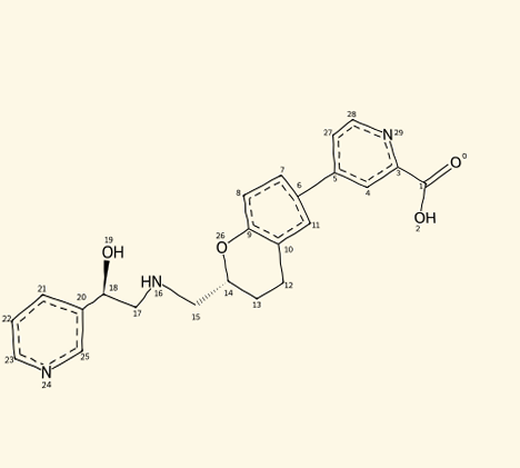 O=C(O)c1cc(-c2ccc3c(c2)CC[C@H](CNC[C@H](O)c2cccnc2)O3)ccn1